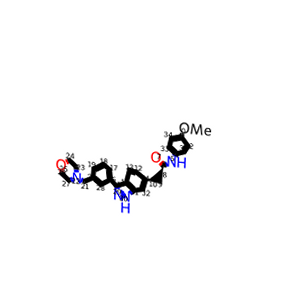 COc1ccc(NC(=O)[C@@H]2C[C@H]2c2ccc3c(-c4cccc(CN5CCOCC5)c4)n[nH]c3c2)cc1